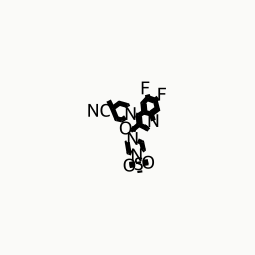 CC1(C#N)CCN(c2c(C(=O)N3CCN(S(C)(=O)=O)CC3)cnc3cc(F)c(F)cc23)CC1